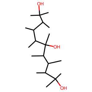 CC(C(C)C(C)(C)O)C(C)C(C)(O)C(C)C(C)C(C)C(C)(C)O